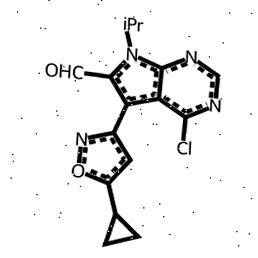 CC(C)n1c(C=O)c(-c2cc(C3CC3)on2)c2c(Cl)ncnc21